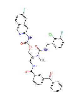 CN(C(=O)NCc1cccc(F)c1Cl)[C@@H](CNC(=O)c1cccc(C(=O)c2ccccc2)c1)COC(=O)Nc1cc2cc(F)ccc2cn1